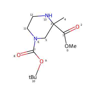 COC(=O)C1(C)CN(C(=O)OC(C)(C)C)CCN1